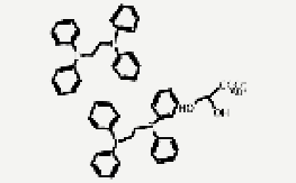 O=C([O-])C(O)CO.[Au+].c1ccc(P(CCP(c2ccccc2)c2ccccc2)c2ccccc2)cc1.c1ccc(P(CCP(c2ccccc2)c2ccccc2)c2ccccc2)cc1